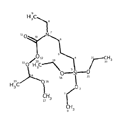 CCO[Si](CCCN(CC)C(=O)OOC(C)OC)(OCC)OCC